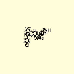 COc1c(Cc2c(-c3ccc(Cl)cc3)nc3ccccn23)cccc1C(=O)N1CC2CNCC2C1